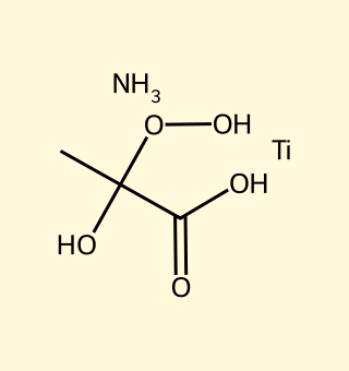 CC(O)(OO)C(=O)O.N.[Ti]